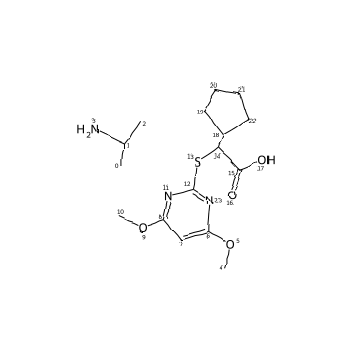 CC(C)N.COc1cc(OC)nc(SC(C(=O)O)C2CCCC2)n1